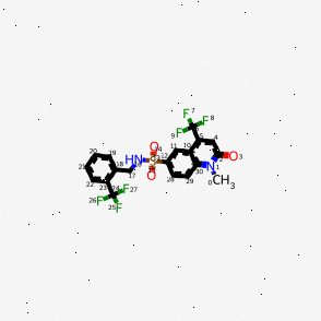 Cn1c(=O)cc(C(F)(F)F)c2cc(S(=O)(=O)NCc3ccccc3C(F)(F)F)ccc21